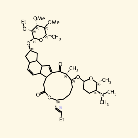 CC/C=C/[C@H]1CCC[C@H](OC2CC[C@H](N(C)C)[C@@H](C)O2)[C@@H](C)C(=O)C2=CC3C(C=CC4C[C@@H](O[C@@H]5O[C@@H](C)[C@H](OC)[C@@H](OC)[C@H]5OCC)CC43)C2CC(=O)O1